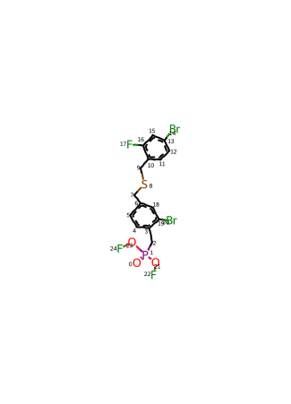 O=P(Cc1ccc(CSCc2ccc(Br)cc2F)cc1Br)(OF)OF